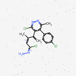 C=C(/C(C)=C\C(Cl)=N/N)c1c(Cl)nnc(C)c1-c1ccc(Cl)cc1